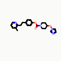 Cc1cccnc1CCc1ccc(OC(=O)N2CCC(On3ccnc3)CC2)cc1